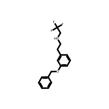 FC(F)(F)CNCCc1cccc(OCc2ccccc2)c1